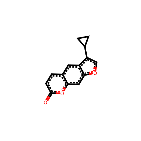 O=c1ccc2cc3c(C4CC4)coc3cc2o1